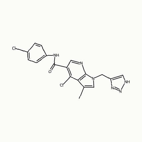 Cc1cn(Cc2c[nH]nn2)c2ncc(C(=O)Nc3ccc(Cl)cc3)c(Cl)c12